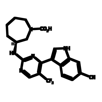 N#Cc1ccc2c(-c3nc(N[C@H]4CCCCN(C(=O)O)C4)ncc3C(F)(F)F)c[nH]c2c1